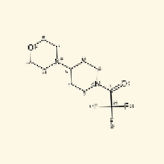 O=C(N1CCC(N2CCOCC2)CC1)C(F)(F)F